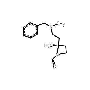 CN(CC[C@]1(C)CCN1C=O)Cc1ccccc1